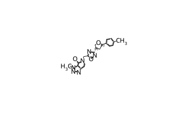 Cc1ccc([C@H]2C[C@H](c3noc(Cn4ccc5nnn(C)c5c4=O)n3)CO2)cc1